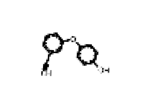 C#Cc1cccc(Oc2ccc(O)cc2)c1